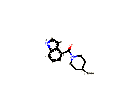 CNC1CCN(C(=O)c2cccc3[nH]ccc23)CC1